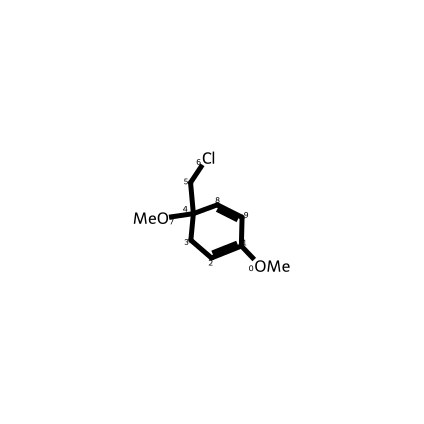 COC1=CCC(CCl)(OC)C=C1